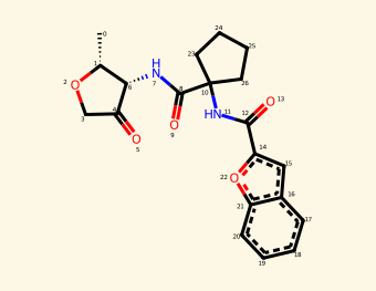 C[C@H]1OCC(=O)[C@H]1NC(=O)C1(NC(=O)c2cc3ccccc3o2)CCCC1